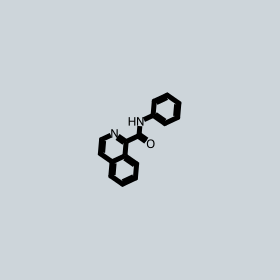 O=C(Nc1ccccc1)c1nccc2ccccc12